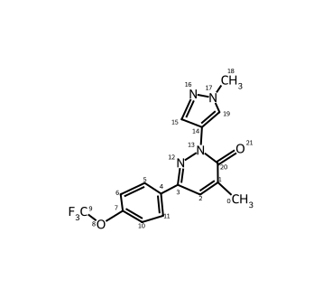 Cc1cc(-c2ccc(OC(F)(F)F)cc2)nn(-c2cnn(C)c2)c1=O